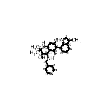 Cc1c[nH]c2c(-c3c(F)cc4c(c3F)[C@H](NCc3ccncc3)C(O)C(C)(C)N4)cccc12